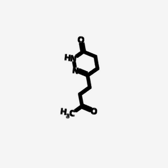 CC(=O)CCC1=NNC(=O)CC1